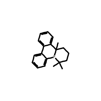 CC1(C)CCCC2(C)c3ccccc3-c3ccccc3P12